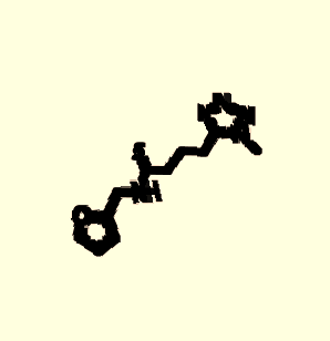 Cn1nnnc1CCCC(=S)NCc1ccco1